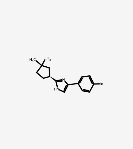 CC1(C)CC[C@H](c2nc(-c3ccc(Br)cc3)c[nH]2)C1